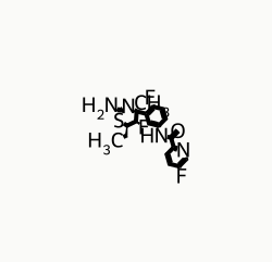 CC[C@H]1SC(N)=N[C@](C)(c2cc(NC(=O)c3ccc(F)cn3)ccc2F)[C@H]1F